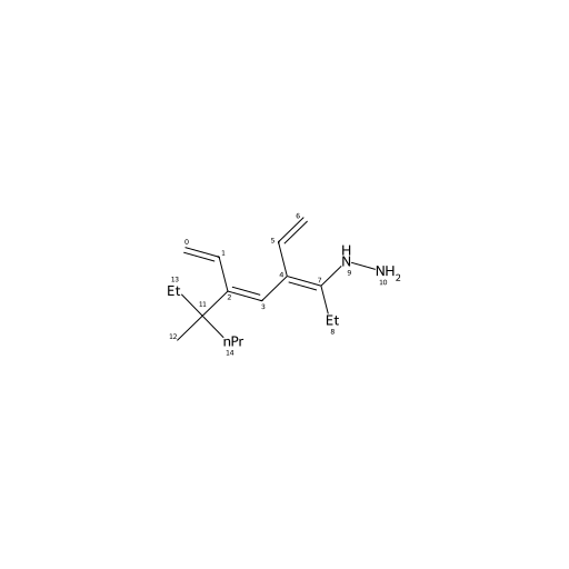 C=C/C(=C\C(C=C)=C(/CC)NN)C(C)(CC)CCC